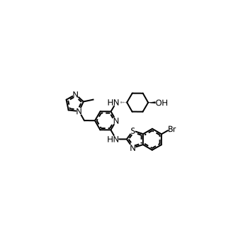 Cc1nccn1Cc1cc(Nc2nc3ccc(Br)cc3s2)nc(N[C@H]2CC[C@H](O)CC2)c1